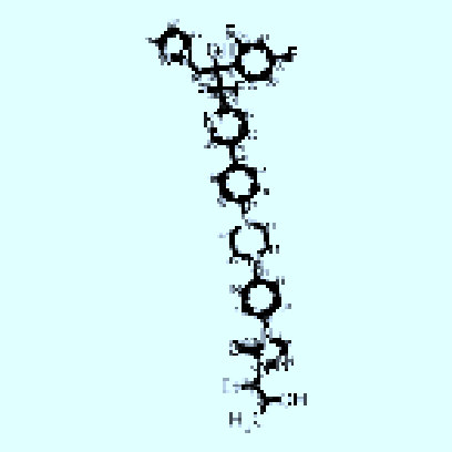 CCC(C(C)O)n1ncn(-c2ccc(N3CCN(c4ccc(-c5ccc(C(F)(F)C(O)(Cn6cccn6)c6ccc(F)cc6F)nc5)cc4)CC3)cc2)c1=O